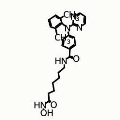 Cc1cccc(C)c1N(c1ccc(C(=O)NCCCCCCC(=O)NO)cc1)c1ncccn1